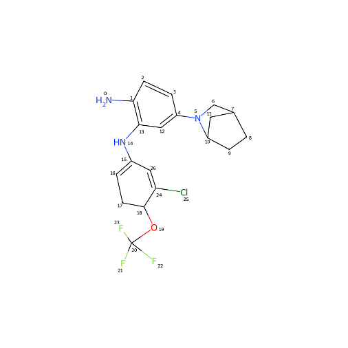 Nc1ccc(N2CC3CCC2C3)cc1NC1=CCC(OC(F)(F)F)C(Cl)=C1